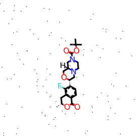 C[C@@H]1Cc2c(ccc([C@H]3CN4CCN(C(=O)OC(C)(C)C)C[C@H]4CO3)c2F)C(=O)O1